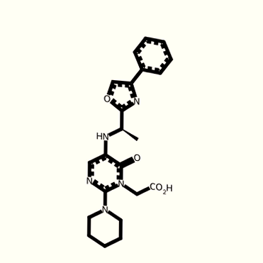 C[C@@H](Nc1cnc(N2CCCCC2)n(CC(=O)O)c1=O)c1nc(-c2ccccc2)co1